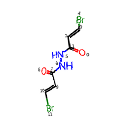 O=C(/C=C/Br)NNC(=O)/C=C/Br